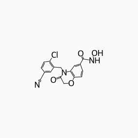 N#Cc1ccc(Cl)c(CN2C(=O)COc3ccc(C(=O)NO)cc32)c1